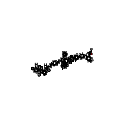 CC1(C)CCC(CN2CCN(c3ccc(C(=O)NS(=O)(=O)c4ccc(N[C@H](CCN5CCN(CCCC(=O)Nc6cccc7c6C(=O)N(C6CCC(=O)NC6=O)C7=O)CC5)CSc5ccccc5)c(S(=O)(=O)C(F)(F)F)c4)cc3)CC2)=C(C23CC(C)(C2)C3)C1